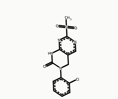 CS(=O)(=O)c1ncc2c(n1)NC(=O)N(c1ccccc1Cl)C2